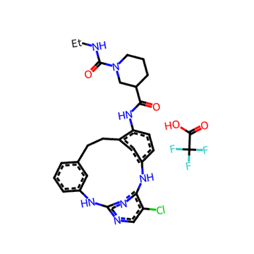 CCNC(=O)N1CCCC(C(=O)Nc2ccc3cc2CCc2cccc(c2)Nc2ncc(Cl)c(n2)N3)C1.O=C(O)C(F)(F)F